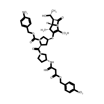 C[C@@H](O)[C@H]1C(=O)N2C(C(=O)O)=C(S[C@H]3C[C@@H](C(=O)N4CC[C@@H](NC(=N)CC(=O)OCc5ccc([N+](=O)[O-])cc5)C4)N(C(=O)OCc4ccc([N+](=O)[O-])cc4)C3)[C@H](C)[C@H]12